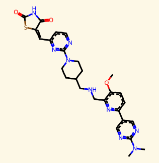 COc1ccc(-c2cnc(N(C)C)nc2)nc1CNCC1CCN(c2nccc(/C=C3/SC(=O)NC3=O)n2)CC1